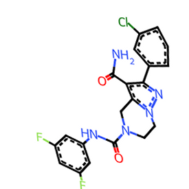 NC(=O)c1c(-c2cccc(Cl)c2)nn2c1CN(C(=O)Nc1cc(F)cc(F)c1)CC2